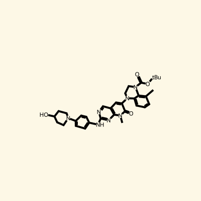 Cc1cccc2c1N(C(=O)OC(C)(C)C)CCN2c1cc2cnc(Nc3ccc(N4CCC(O)CC4)cc3)nc2n(C)c1=O